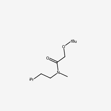 CC(C)CCN(C)C(=O)COC(C)(C)C